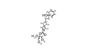 CC(C)(C)OC(=O)N1CC2(CC(CCC3(O)C=CC=CC3)C2)C1